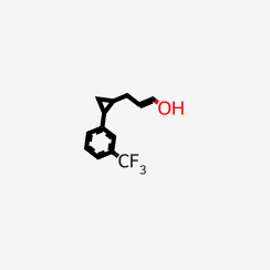 OC=CCC1CC1c1cccc(C(F)(F)F)c1